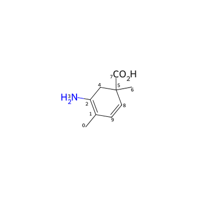 CC1=C(N)CC(C)(C(=O)O)C=C1